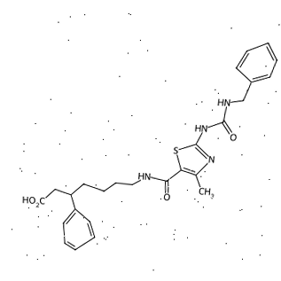 Cc1nc(NC(=O)NCc2ccccc2)sc1C(=O)NCCCCC(CC(=O)O)c1ccccc1